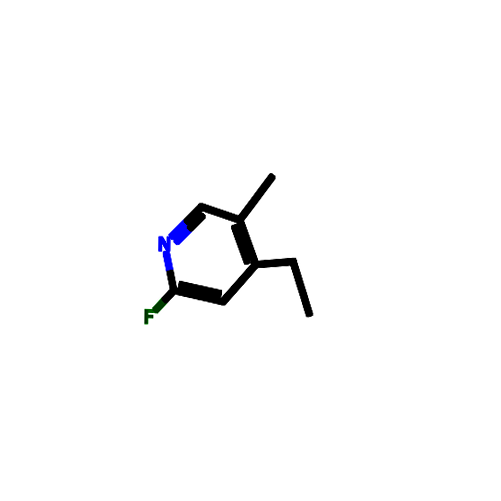 CCc1cc(F)ncc1C